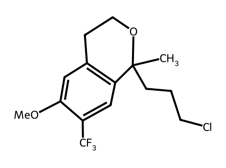 COc1cc2c(cc1C(F)(F)F)C(C)(CCCCl)OCC2